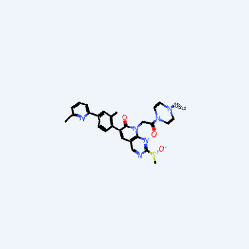 Cc1cccc(-c2ccc(-c3cc4cnc([S+](C)[O-])nc4n(CC(=O)N4CCN(C(C)(C)C)CC4)c3=O)c(C)c2)n1